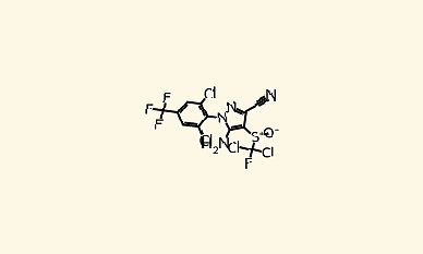 N#Cc1nn(-c2c(Cl)cc(C(F)(F)F)cc2Cl)c(N)c1[S+]([O-])C(F)(Cl)Cl